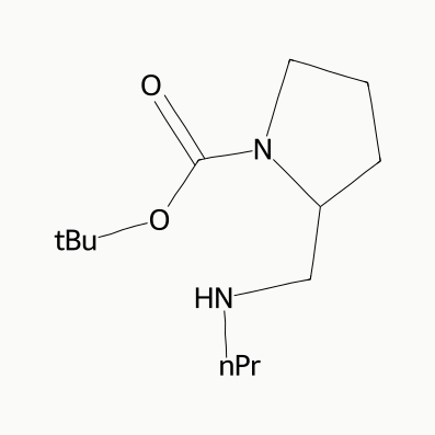 CCCNCC1CCCN1C(=O)OC(C)(C)C